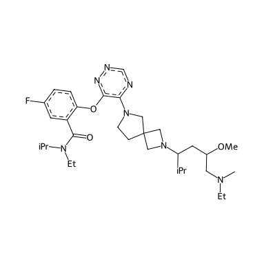 CCN(C)CC(CC(C(C)C)N1CC2(CCN(c3ncnnc3Oc3ccc(F)cc3C(=O)N(CC)C(C)C)C2)C1)OC